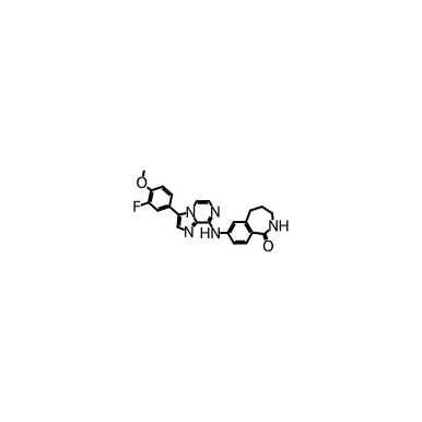 COc1ccc(-c2cnc3c(Nc4ccc5c(c4)CCCNC5=O)nccn23)cc1F